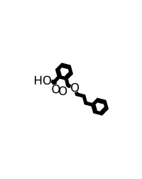 O=C(O)c1ccccc1C(=O)OCCCc1ccccc1